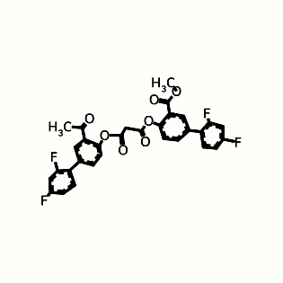 COC(=O)c1cc(-c2ccc(F)cc2F)ccc1OC(=O)CC(=O)Oc1ccc(-c2ccc(F)cc2F)cc1C(C)=O